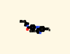 COc1cc(C(=O)N2CC(OC)C2)ccc1Nc1ccnc2cc(C)ccc12